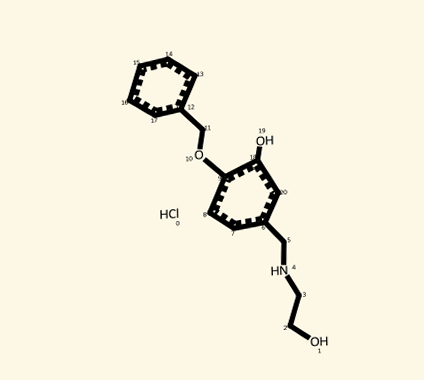 Cl.OCCNCc1ccc(OCc2ccccc2)c(O)c1